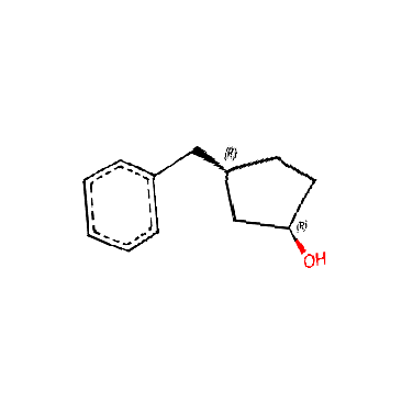 O[C@@H]1CC[C@H](Cc2ccccc2)C1